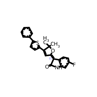 CC1(C)O/C(=C2/C(=O)Nc3cc(F)ccc32)C=C1c1ccc(-c2ccccc2)s1